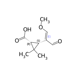 CO/C=C(/C=O)[C@H]1[C@@H](C(=O)O)C1(C)C